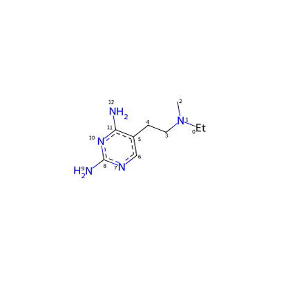 CCN(C)CCc1cnc(N)nc1N